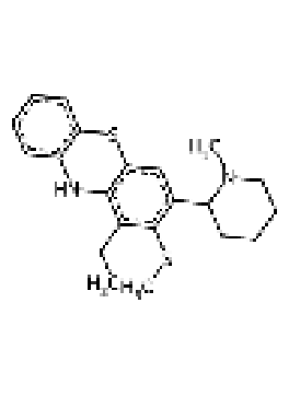 CCc1c2c(cc(C3CCCCN3C)c1SC)Sc1ccccc1N2